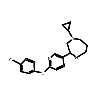 Clc1ccc(Oc2ccc(C3CN(C4CC4)CCC[N]3)cn2)cc1